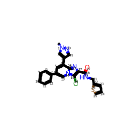 Cn1cc(-c2cc(-c3ccccc3)cn3c(Cl)c(C(=O)NCc4cccs4)nc23)cn1